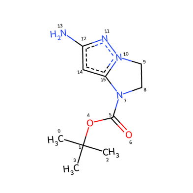 CC(C)(C)OC(=O)N1CCn2nc(N)cc21